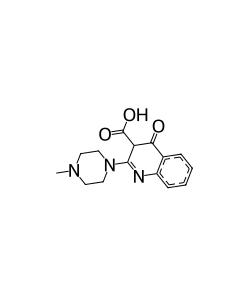 CN1CCN(C2=Nc3ccccc3C(=O)C2C(=O)O)CC1